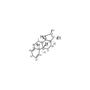 CC[C@H]1[C@H](C)C[C@H]2[C@@H]3CCC4=CCC=C[C@]4(C)[C@H]3CC[C@@]21C